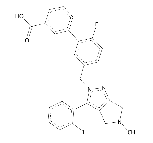 CN1Cc2nn(Cc3ccc(F)c(-c4cccc(C(=O)O)c4)c3)c(-c3ccccc3F)c2C1